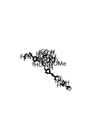 COC(=O)N[C@H](C(=O)N[C@@H](Cc1ccc(C#Cc2cnc(N3C[C@H]4C[C@@H]3CN4C3COC3)nc2)cc1)[C@@H](O)CN(Cc1c(F)cc(-c2ccn(CC(F)F)n2)cc1F)NC(=O)[C@@H](NC(=O)O)C(C)(C)C(F)(F)F)C(C)(C)C(F)(F)F